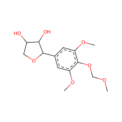 COCOc1c(OC)cc(C2OCC(O)C2O)cc1OC